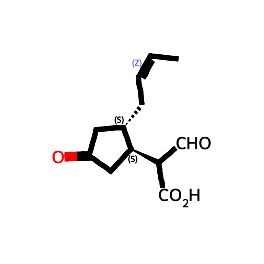 C/C=C\C[C@H]1CC(=O)C[C@@H]1C(C=O)C(=O)O